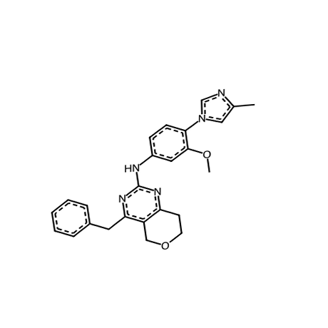 COc1cc(Nc2nc3c(c(Cc4ccccc4)n2)COCC3)ccc1-n1cnc(C)c1